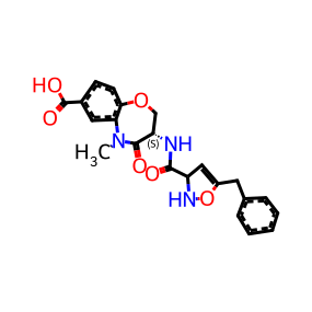 CN1C(=O)[C@@H](NC(=O)C2C=C(Cc3ccccc3)ON2)COc2ccc(C(=O)O)cc21